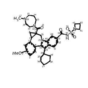 COc1ccc2c(c1)C1CC1(C(=O)N1CCCN(C)CC1)Cn1c-2c(C2CCCCC2)c2ccc(C(=O)NS(=O)(=O)N3CCC3)cc21